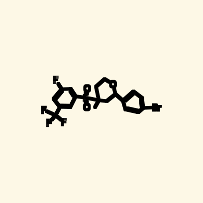 CC1(S(=O)(=O)c2cc(F)cc(C(F)(F)F)c2)CCOC(c2ccc(Br)cc2)C1